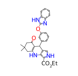 CCOC(=O)c1[nH]cc2c1NC1=C(C(=O)CC(C)(C)C1)C2c1cccc(Oc2nc3ccccc3[nH]2)c1